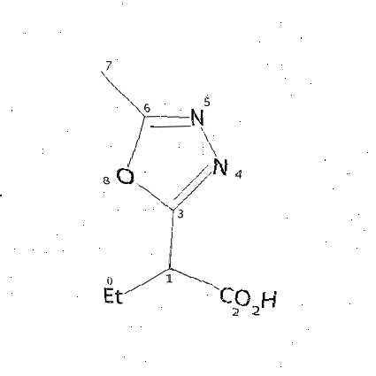 CCC(C(=O)O)c1nnc(C)o1